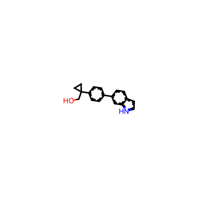 OCC1(c2ccc(-c3ccc4cc[nH]c4c3)cc2)CC1